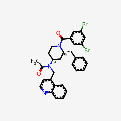 O=C(c1cc(Br)cc(Br)c1)N1CC[C@H](N(Cc2ccnc3ccccc23)C(=O)C(F)(F)F)C[C@H]1Cc1ccccc1